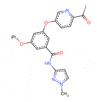 CC(C)Oc1cc(Oc2ccc(C(=O)I)nc2)cc(C(=O)Nc2ccn(C)n2)c1